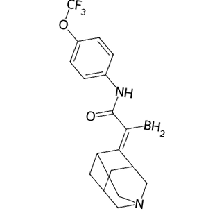 BC(C(=O)Nc1ccc(OC(F)(F)F)cc1)=C1C2CC3CC1CN(C3)C2